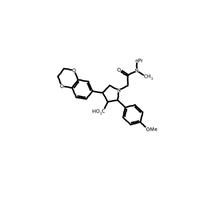 CCCN(C)C(=O)CN1CC(c2ccc3c(c2)OCCO3)C(C(=O)O)C1c1ccc(OC)cc1